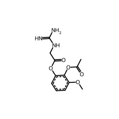 COc1cccc(OC(=O)CNC(=N)N)c1OC(C)=O